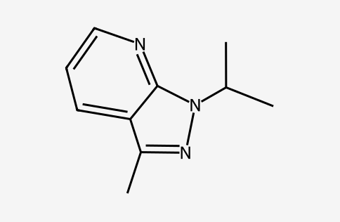 Cc1nn(C(C)C)c2ncccc12